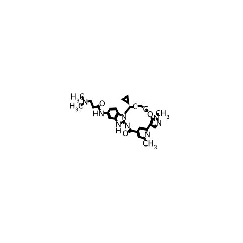 Cc1cc2cc(n1)-c1cnn(C)c1OCCC[C@@H](C1CC1)CN1/C(=N/C2=O)Nc2cc(NC(=O)CCN(C)C)ccc21